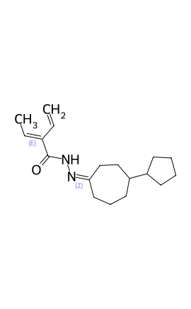 C=C/C(=C\C)C(=O)N/N=C1/CCCC(C2CCCC2)CC1